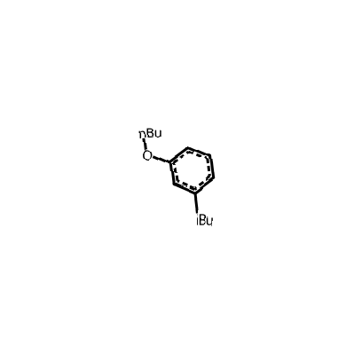 CCCCOc1cccc(C(C)CC)c1